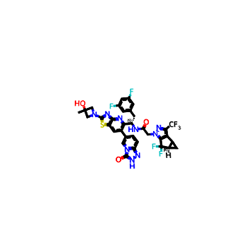 CC1(O)CN(c2nc3nc([C@H](Cc4cc(F)cc(F)c4)NC(=O)Cn4nc(C(F)(F)F)c5c4C(F)(F)[C@@H]4CC54)c(-c4ccc5n[nH]c(=O)n5c4)cc3s2)C1